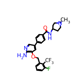 CN1CCC(NC(=O)c2ccc(-c3cnc(N)c(OCc4cccc(F)c4C(F)(F)F)c3)cc2)CC1